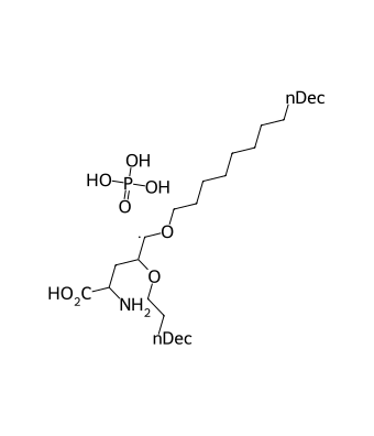 CCCCCCCCCCCCCCCCCCO[CH]C(CC(N)C(=O)O)OCCCCCCCCCCCC.O=P(O)(O)O